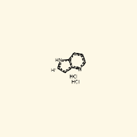 Cl.Cl.[H+].c1cnc2cc[nH]c2c1